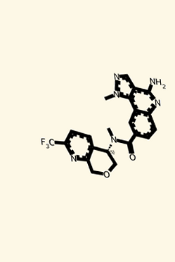 CN(C(=O)c1ccc2nc(N)c3cnn(C)c3c2c1)[C@@H]1COCc2nc(C(F)(F)F)ccc21